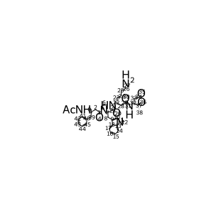 CC(=O)N[C@H](CC(=O)N(C)[C@H](Cc1cn(C)c2ccccc12)C(=O)N[C@@H](CCCCN)CC(=O)N[C@@H]1CC(=O)O[C@@H]1C)Cc1ccccc1